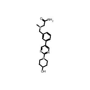 CN(CC(N)=O)Cc1cccc(-c2cnc(N3CCC(O)CC3)nc2)c1